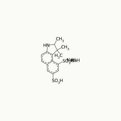 CC1Nc2ccc3cc(S(=O)(=O)O)cc(S(=O)(=O)O)c3c2C1(C)C.[NaH].[NaH]